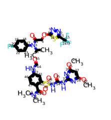 CC(C)N(C(=O)COc1nnc(C(F)(F)F)s1)c1ccc(F)cc1.COc1cc(OC)nc(NC(=O)NS(=O)(=O)c2cc(NC=O)ccc2C(=O)N(C)C)n1